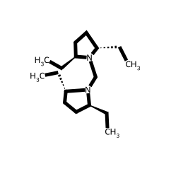 CC[C@H]1CC[C@H](CC)N1CN1[C@@H](CC)CC[C@@H]1CC